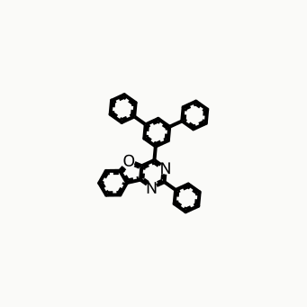 c1ccc(-c2cc(-c3ccccc3)cc(-c3nc(-c4ccccc4)nc4c3oc3ccccc34)c2)cc1